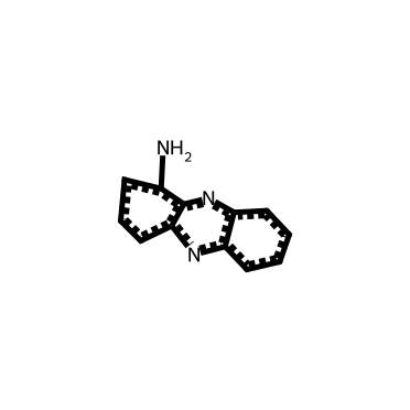 Nc1cccc2nc3ccccc3nc12